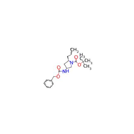 C=CC[C@@H]1CC(NC(=O)OCc2ccccc2)CN1C(=O)OC(C)(C)C